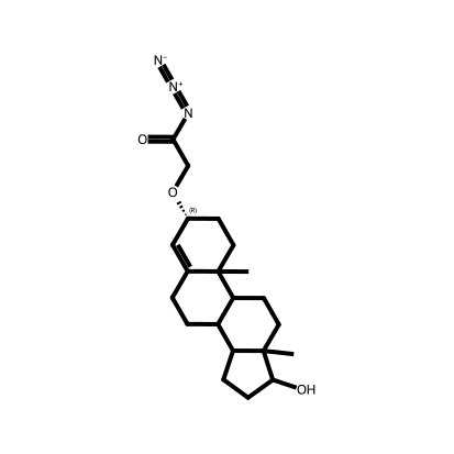 CC12CC[C@@H](OCC(=O)N=[N+]=[N-])C=C1CCC1C2CCC2(C)C(O)CCC12